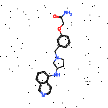 NC(=O)COc1cccc(CN2CCC(Nc3cccc4cnccc34)C2)c1